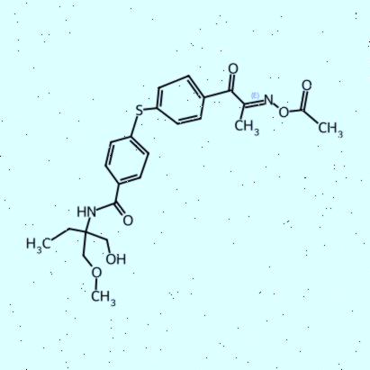 CCC(CO)(COC)NC(=O)c1ccc(Sc2ccc(C(=O)/C(C)=N/OC(C)=O)cc2)cc1